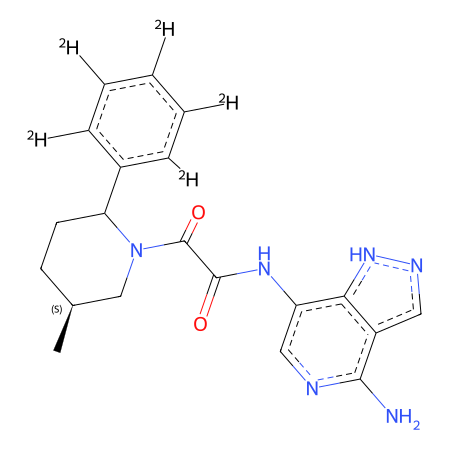 [2H]c1c([2H])c([2H])c(C2CC[C@H](C)CN2C(=O)C(=O)Nc2cnc(N)c3cn[nH]c23)c([2H])c1[2H]